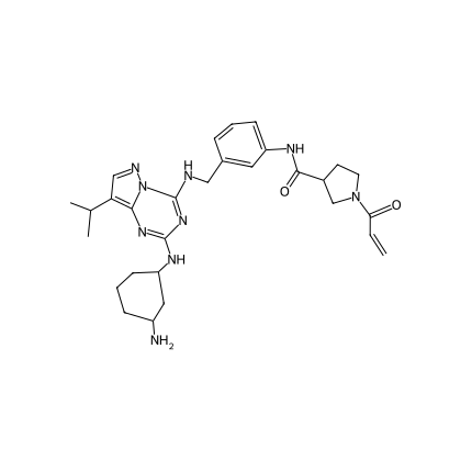 C=CC(=O)N1CCC(C(=O)Nc2cccc(CNc3nc(NC4CCCC(N)C4)nc4c(C(C)C)cnn34)c2)C1